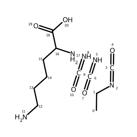 CCN=C=O.N=C=O.N=C=O.NCCCCC(N)C(=O)O